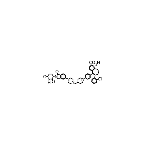 O=C1CC[C@H](N2Cc3cc(N4CCN(CC5CCN(c6ccc(C7=C(c8ccccc8Cl)CCCc8cc(C(=O)O)ccc87)cc6)CC5)CC4)ccc3C2=O)C(=O)N1